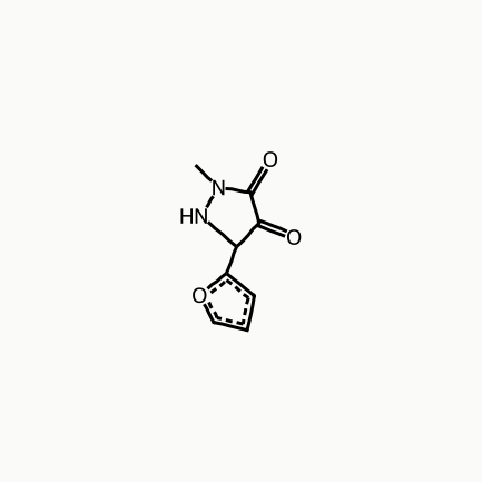 CN1NC(c2ccco2)C(=O)C1=O